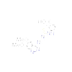 COc1cc2ncnc(N3CCN(C(=S)Nc4cccc(C(=O)O)c4)CC3)c2cc1OC